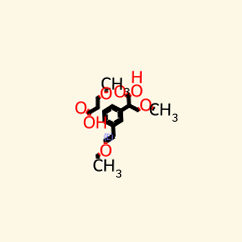 CCO/C=C/c1cccc(C(COC)C(=O)O)c1.COCCC(=O)O